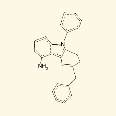 Nc1cccc2c1c1c(n2-c2ccccc2)CCC(Cc2ccccc2)=C1